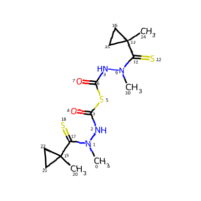 CN(NC(=O)SC(=O)NN(C)C(=S)C1(C)CC1)C(=S)C1(C)CC1